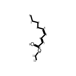 CCCC/C=C\C=CC(=O)OCC